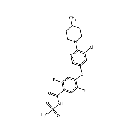 CC1CCN(c2ncc(Oc3cc(F)c(C(=O)NS(C)(=O)=O)cc3F)cc2Cl)CC1